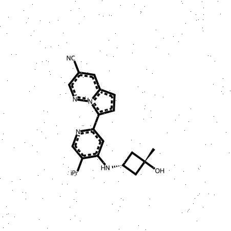 CC(C)c1cnc(-c2ccc3cc(C#N)cnn23)cc1N[C@H]1C[C@@](C)(O)C1